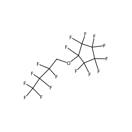 FC(F)(F)C(F)(F)C(F)(F)COC1(F)C(F)(F)C(F)(F)C(F)(F)C1(F)F